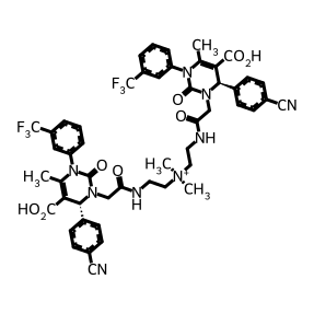 CC1=C(C(=O)O)[C@@H](c2ccc(C#N)cc2)N(CC(=O)NCC[N+](C)(C)CCNC(=O)CN2C(=O)N(c3cccc(C(F)(F)F)c3)C(C)=C(C(=O)O)[C@H]2c2ccc(C#N)cc2)C(=O)N1c1cccc(C(F)(F)F)c1